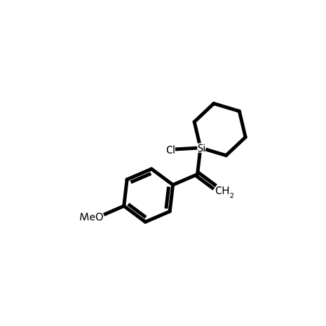 C=C(c1ccc(OC)cc1)[Si]1(Cl)CCCCC1